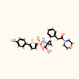 O=C(Cc1ccccc1[C@@H]1C[C@]1(NS(=O)(=O)c1ccc(-c2ccc(Cl)cc2)s1)C(=O)O)N1CCOCC1